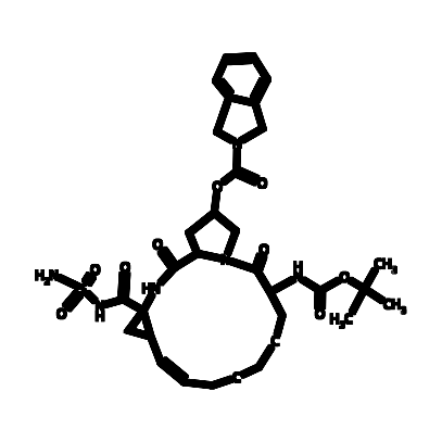 CC(C)(C)OC(=O)NC1CCCCCC=CC2CC2(C(=O)NS(N)(=O)=O)NC(=O)C2CC(OC(=O)N3Cc4ccccc4C3)CN2C1=O